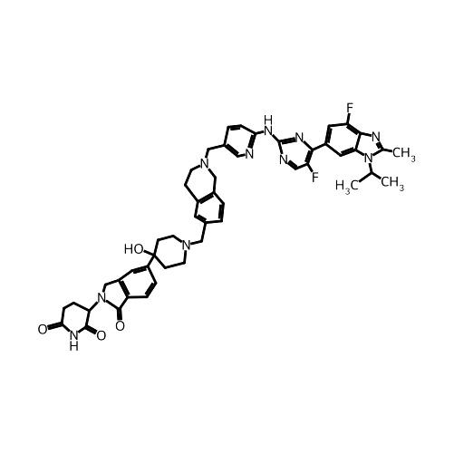 Cc1nc2c(F)cc(-c3nc(Nc4ccc(CN5CCc6cc(CN7CCC(O)(c8ccc9c(c8)CN(C8CCC(=O)NC8=O)C9=O)CC7)ccc6C5)cn4)ncc3F)cc2n1C(C)C